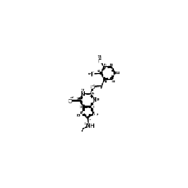 CNc1nc2nc(SCc3cccc(F)c3F)nc(Cl)c2s1